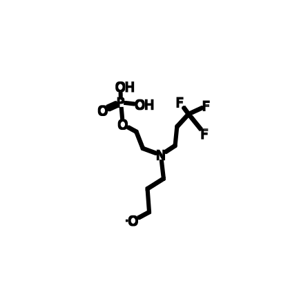 [O]CCCN(CCOP(=O)(O)O)CCC(F)(F)F